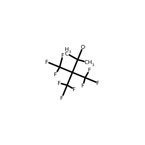 CC(C)([O])C(C(F)(F)F)(C(F)(F)F)C(F)(F)F